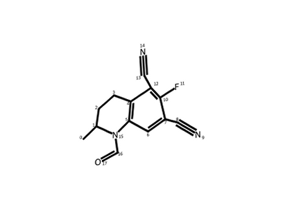 CC1CCc2c(cc(C#N)c(F)c2C#N)N1C=O